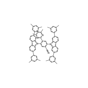 Cc1cc(C)cc(-c2ccc3c4ccc(-c5cc(C)cc(C)c5)cc4n(-c4cc(-c5nc(C)nc(C)n5)c(-n5c6cc(-c7cc(C)cc(C)c7)ccc6c6ccc(-c7cc(C)cc(C)c7)cc65)cc4C#N)c3c2)c1